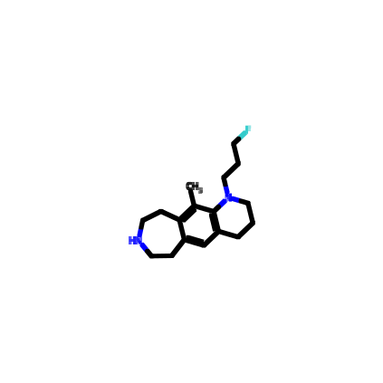 Cc1c2c(cc3c1N(CCCF)CCC3)CCNCC2